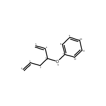 C=CC[C](C=C)Oc1ccccc1